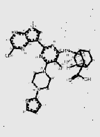 O=C(O)[C@H]1C2CCC(CC2)[C@@H]1Nc1nc(-c2c[nH]c3ncc(Cl)nc23)nc(N2CCN(c3cccs3)CC2)c1F